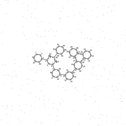 c1ccc(-c2cc(-c3cccc(-c4cccc(-c5ccc6c7ccccc7c7ccccc7c6c5)c4)c3)nc(-c3ccccc3)n2)cc1